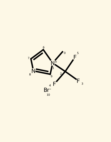 C[N+]1(C(F)(F)F)C=CN=C1.[Br-]